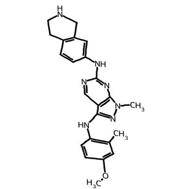 COc1ccc(Nc2nn(C)c3nc(Nc4ccc5c(c4)CNCC5)ncc23)c(C)c1